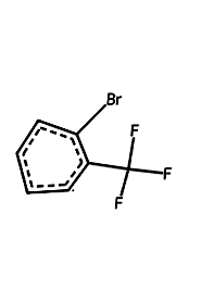 FC(F)(F)c1[c]cccc1Br